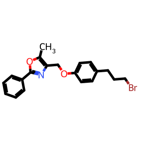 Cc1oc(-c2ccccc2)nc1COc1ccc(CCCBr)cc1